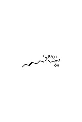 CCC=CCCOP(=O)(O)CP(=O)(O)O